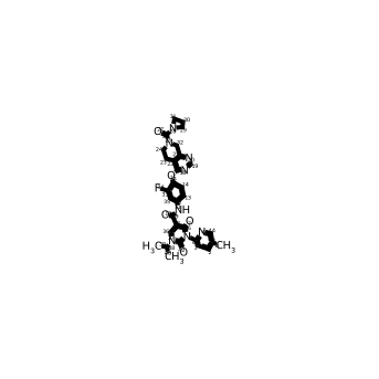 Cc1ccc(-n2c(=O)c(C(=O)Nc3ccc(Oc4ncnc5c4CCN(C(=O)N4CCC4)C5)c(F)c3)cn(C(C)C)c2=O)nc1